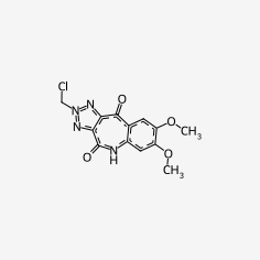 COc1cc2[nH]c(=O)c3nn(CCl)nc3c(=O)c2cc1OC